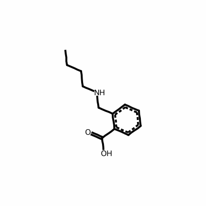 CCCCNCc1ccccc1C(=O)O